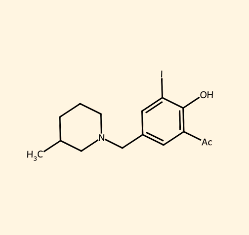 CC(=O)c1cc(CN2CCCC(C)C2)cc(I)c1O